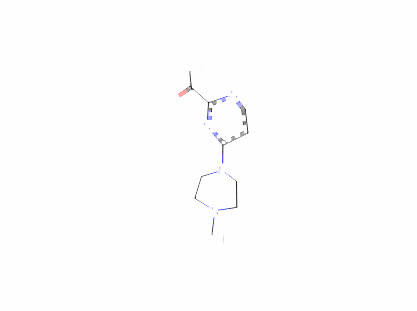 CC(=O)c1nccc(N2CCN(C)CC2)n1